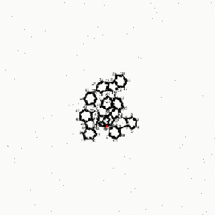 c1ccc(-c2ccccc2-n2c3ccc(-n4c5ccccc5c5ccccc54)cc3c3cc(-n4c5ccccc5c5cccc([Si](c6ccccc6)(c6ccccc6)c6ccccc6)c54)ccc32)cc1